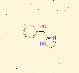 [OH].c1ccc(CC2=NCCN2)cc1